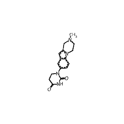 CN1CCn2c(cc3cc(N4CCC(=O)NC4=O)ccc32)C1